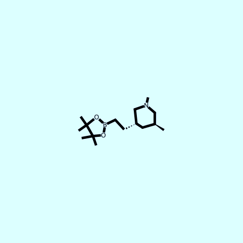 C[C@H]1C[C@H](CCB2OC(C)(C)C(C)(C)O2)CN(C)C1